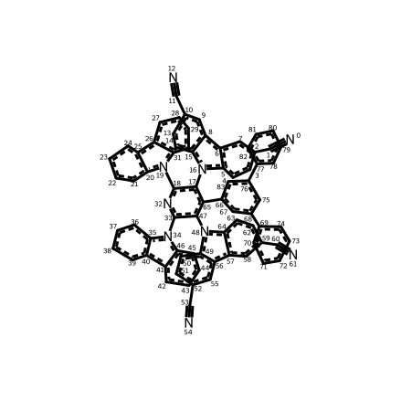 N#Cc1ccc2c(c1)c1cc(C#N)ccc1n2-c1c(-n2c3ccccc3c3ccccc32)nc(-n2c3ccccc3c3ccccc32)c(-n2c3ccc(C#N)cc3c3cc(C#N)ccc32)c1-c1cc(-c2ccccc2)cc(-c2ccccc2)c1